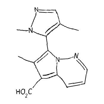 Cc1cnn(C)c1-c1c(C)c(C(=O)O)c2cccnn12